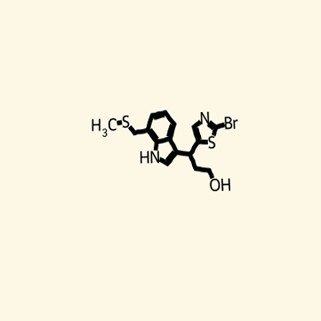 CSCc1cccc2c(C(CCO)c3cnc(Br)s3)c[nH]c12